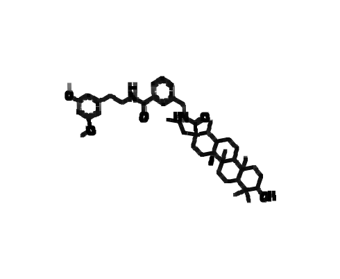 CCCC1(C(=O)NCc2cccc(C(=O)NCCc3cc(OC)cc(OC)c3)c2)CC[C@]2(C)C(CCC3C4(C)CCC(O)C(C)(C)C4CCC32C)C1C